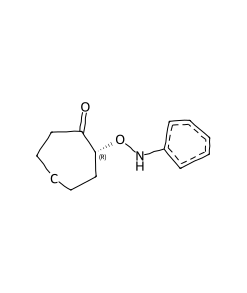 O=C1CCCCC[C@H]1ONc1ccccc1